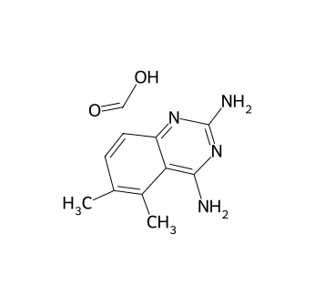 Cc1ccc2nc(N)nc(N)c2c1C.O=CO